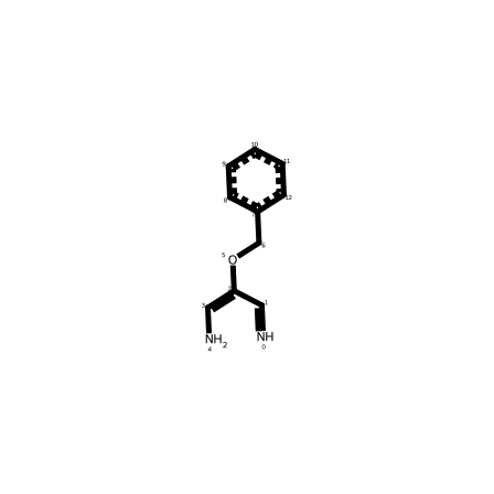 N=C/C(=C\N)OCc1ccccc1